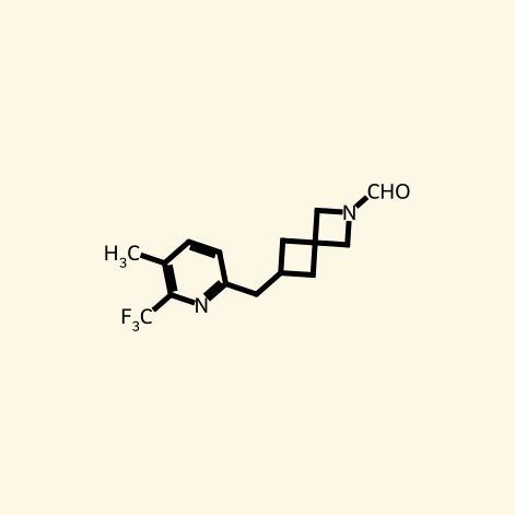 Cc1ccc(CC2CC3(C2)CN(C=O)C3)nc1C(F)(F)F